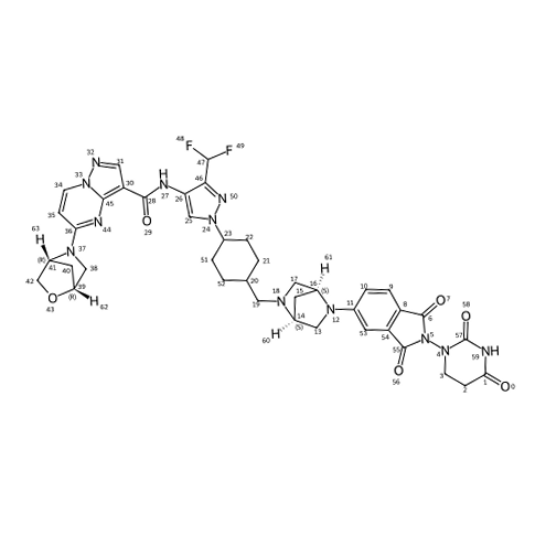 O=C1CCN(N2C(=O)c3ccc(N4C[C@@H]5C[C@H]4CN5CC4CCC(n5cc(NC(=O)c6cnn7ccc(N8C[C@H]9C[C@@H]8CO9)nc67)c(C(F)F)n5)CC4)cc3C2=O)C(=O)N1